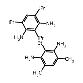 CC(C)c1cc(C(C)C)c(N)c(C(C)C)c1N.CCc1c(N)c(C)cc(C)c1N